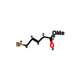 COC(=O)CC=CCBr